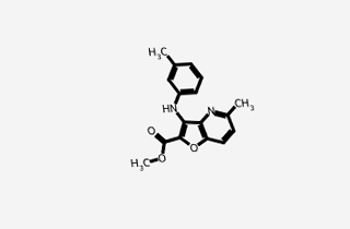 COC(=O)c1oc2ccc(C)nc2c1Nc1cccc(C)c1